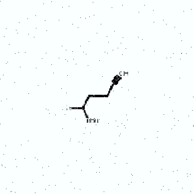 C#CCCC(CC)CCC[CH2]